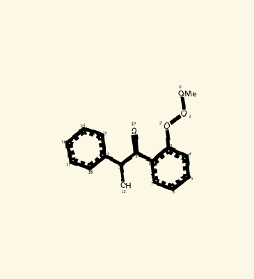 COOOc1ccccc1C(=O)C(O)c1ccccc1